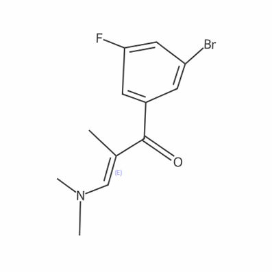 C/C(=C\N(C)C)C(=O)c1cc(F)cc(Br)c1